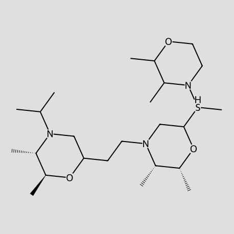 CC1OCCN([SH](C)C2CN(CCC3CN(C(C)C)[C@@H](C)[C@H](C)O3)[C@@H](C)[C@@H](C)O2)C1C